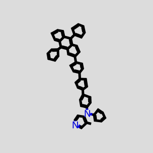 Cc1cnccc1N(c1ccccc1)c1ccc(-c2ccc(-c3ccc(-c4ccc5c(-c6ccccc6)c6ccccc6c(-c6ccccc6)c5c4)cc3)cc2)cc1